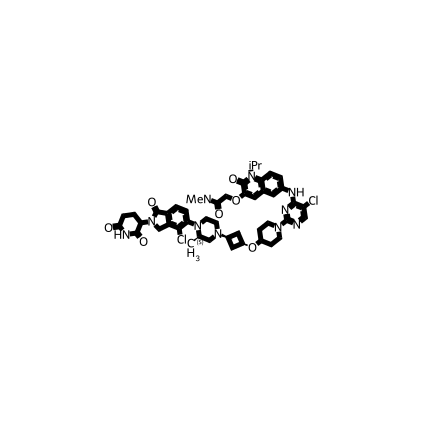 CNC(=O)COc1cc2cc(Nc3nc(N4CCC(O[C@H]5C[C@H](N6CCN(c7ccc8c(c7Cl)CN(C7CCC(=O)NC7=O)C8=O)[C@@H](C)C6)C5)CC4)ncc3Cl)ccc2n(C(C)C)c1=O